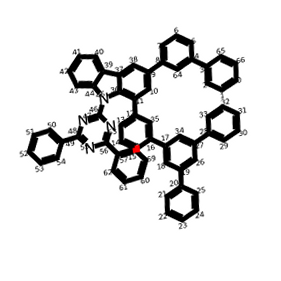 c1ccc(-c2cccc(-c3cc(-c4cccc(-c5cc(-c6ccccc6)cc(-c6ccccc6)c5)c4)c4c(c3)c3ccccc3n4-c3nc(-c4ccccc4)nc(-c4ccccc4)n3)c2)cc1